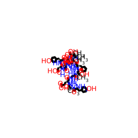 CC[C@H](C)[C@H](NC(=O)[C@H](CO)NC(=O)[C@H](Cc1ccc(O)cc1)NC(=O)[C@H](CC(=O)O)NC(=O)[C@H](CO)NC(=O)[C@@H](NC(=O)[C@H](Cc1ccccc1)NC(=O)[C@@H](NC(=O)CNC(=O)[C@H](CCC(=O)O)NC(=O)[C@H](C)NC(=O)[C@@H](N)Cc1ccc(O)cc1)[C@@H](C)O)[C@@H](C)CC)C(=O)O